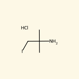 CC(C)(N)CI.Cl